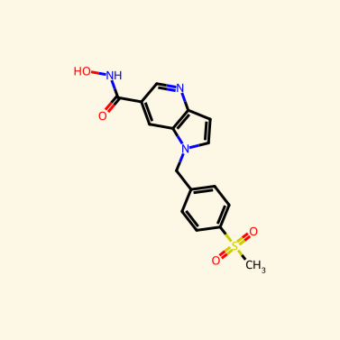 CS(=O)(=O)c1ccc(Cn2ccc3ncc(C(=O)NO)cc32)cc1